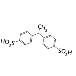 CC(c1ccc(S(=O)(=O)O)cc1)c1ccc(S(=O)(=O)O)cc1